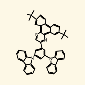 CC(C)(C)c1ccc2c3ccc(C(C)(C)C)cc3c3nc(-c4cc(-n5c6ccccc6c6ccccc65)cc(-n5c6ccccc6c6ccccc65)c4)cnc3c2c1